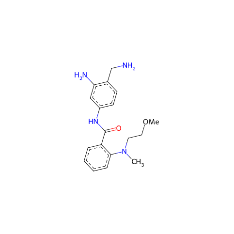 COCCN(C)c1ccccc1C(=O)Nc1ccc(CN)c(N)c1